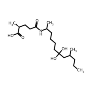 CCCC(C)CC(O)(O)CCCCC(C)NC(=O)CC[C@H](C)C(=O)O